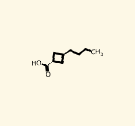 CCCC[C@H]1C[C@H](C(=O)O)C1